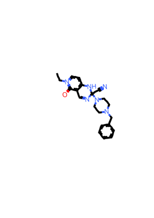 CCn1ccc2c(c1=O)C=NC(C#N)(N1CCN(Cc3ccccc3)CC1)N2